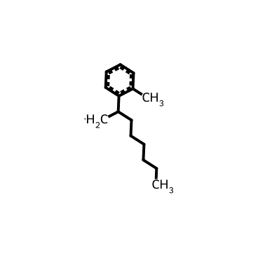 [CH2]C(CCCCCC)c1ccccc1C